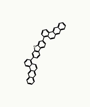 c1ccc2cc3c(ccc4c(-c5ccc6c(c5)sc5cc(-c7cccc8c7ccc7cc9ccccc9cc78)ccc56)cccc43)cc2c1